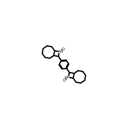 O=[PH]1C2CCCCCCC2C1c1ccc(C2C3CCCCCCC3[PH]2=O)cc1